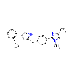 Cn1cc(C(F)(F)F)nc1-c1ccc(Cc2cc(-c3ccccc3C3CC3)c[nH]2)cc1